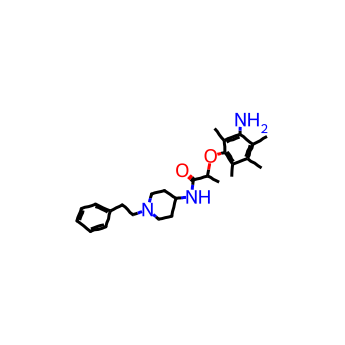 Cc1c(C)c(N)c(C)c(OC(C)C(=O)NC2CCN(CCc3ccccc3)CC2)c1C